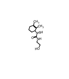 CC1=C(C)C(N(S)C(=O)NCCO)CCC1